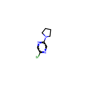 Brc1cnc(N2CCCC2)cn1